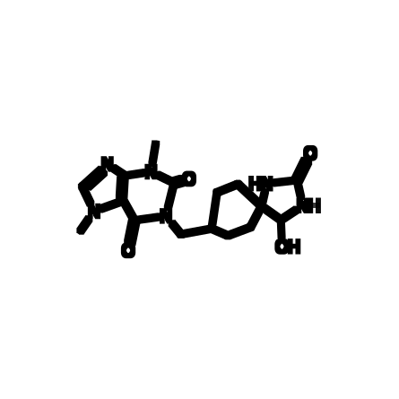 Cn1cnc2c1c(=O)n(CC1CCC3(CC1)NC(=O)NC3O)c(=O)n2C